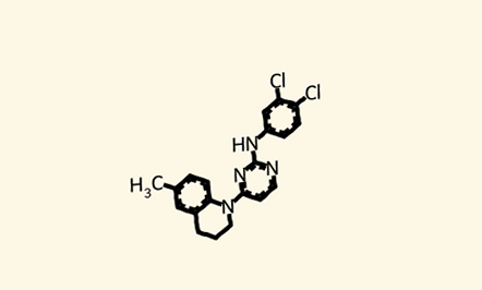 Cc1ccc2c(c1)CCCN2c1ccnc(Nc2ccc(Cl)c(Cl)c2)n1